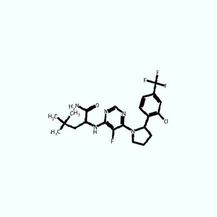 CC(C)(C)CC(Nc1ncnc(N2CCCC2c2ccc(C(F)(F)F)cc2Cl)c1F)C(N)=O